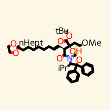 CCCCCCCC1(CCCCCCC=C[C@H](C(=O)N2C(=S)OC(c3ccccc3)(c3ccccc3)C2C(C)C)[C@@](O)(CCOC)C(=O)OC(C)(C)C)OCCO1